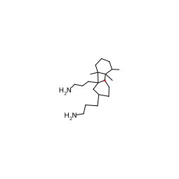 CC1CCCC(C)(C2(CCCN)CCCC(CCCN)C2)C1(C)C